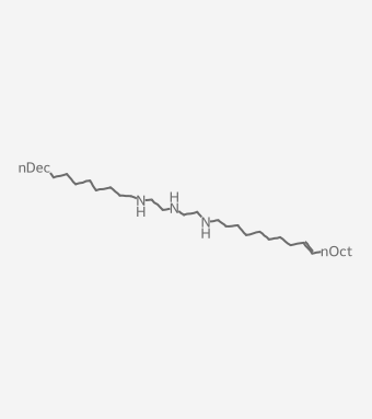 CCCCCCCCC=CCCCCCCCCNCCNCCNCCCCCCCCCCCCCCCCCC